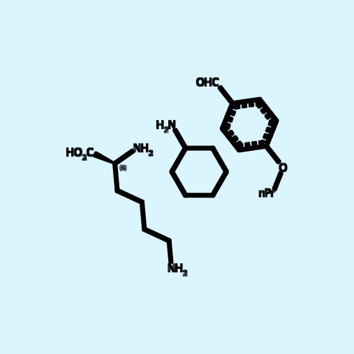 CCCOc1ccc(C=O)cc1.NC1CCCCC1.NCCCC[C@H](N)C(=O)O